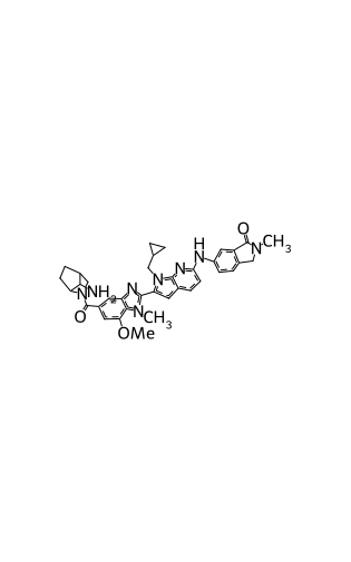 COc1cc(C(=O)N2CC3CCC2C3N)cc2nc(-c3cc4ccc(Nc5ccc6c(c5)C(=O)N(C)C6)nc4n3CC3CC3)n(C)c12